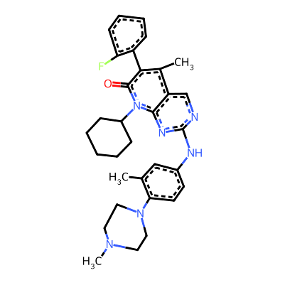 Cc1cc(Nc2ncc3c(C)c(-c4ccccc4F)c(=O)n(C4CCCCC4)c3n2)ccc1N1CCN(C)CC1